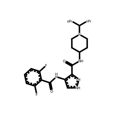 CCCC(CCC)N1CCC(NC(=O)c2n[nH]cc2NC(=O)c2c(F)cccc2F)CC1